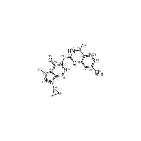 Cc1nn(C2CC2)c2cnn(CC(=O)NC(C)c3ccc(C(F)(F)F)cn3)c(=O)c12